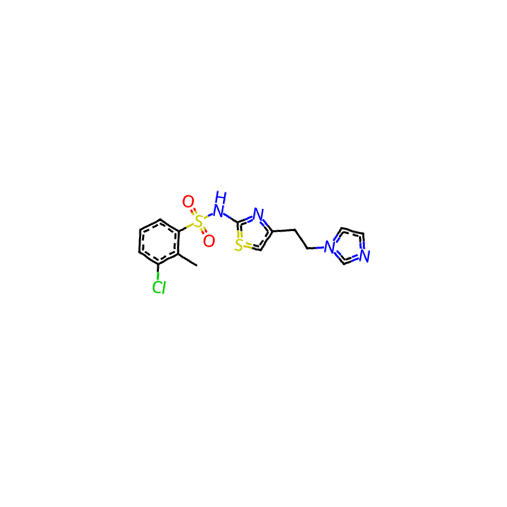 Cc1c(Cl)cccc1S(=O)(=O)Nc1nc(CCn2ccnc2)cs1